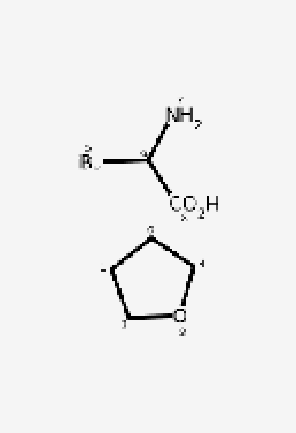 C1CCOC1.CCC(C)C(N)C(=O)O